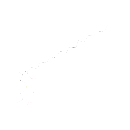 CCCCCCCCCCCCCCCCCCN1C(=O)CC([S+]([O-])CC(C)O)C1=O